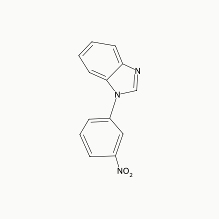 O=[N+]([O-])c1cccc(-n2cnc3ccccc32)c1